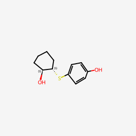 Oc1ccc(S[C@H]2CCCC[C@@H]2O)cc1